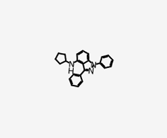 c1ccc(-c2nn(-c3ccccc3)c3cccc(NC4CCCC4)c23)cc1